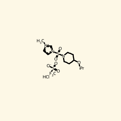 CC(C)OC1CCN(S(=O)(=O)n2cc[n+](C)c2)CC1.Cl.O=S(=O)([O-])C(F)(F)F